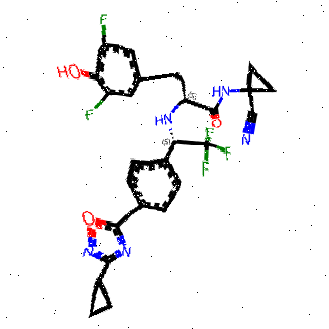 N#CC1(NC(=O)[C@H](Cc2cc(F)c(O)c(F)c2)N[C@@H](c2ccc(-c3nc(C4CC4)no3)cc2)C(F)(F)F)CC1